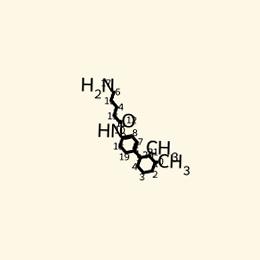 CC1CCCC(C2=CC=C(NC(=O)CCCCN)CC2)C1C